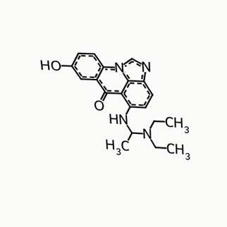 CCN(CC)C(C)Nc1ccc2ncn3c4ccc(O)cc4c(=O)c1c23